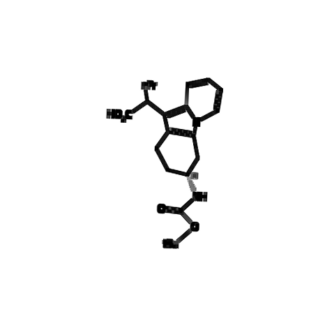 CCCC(C(=O)O)c1c2c(n3ccccc13)C[C@H](NC(=O)OC(C)(C)C)CC2